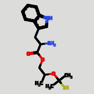 CC(COC(=O)C(N)Cc1c[nH]c2ccccc12)OC(C)(C)S